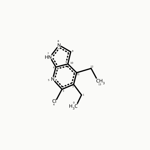 CCc1c(Cl)nc2[nH]ncc2c1CC